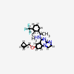 Cc1c(C(C)Nc2nc3nccn3c3ccc(OCC45CC(C4)C5)cc23)cccc1C(F)(F)F